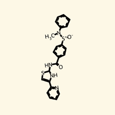 CN(c1ccccc1)[S+]([O-])c1ccc(C(=O)NC2NC(c3ccccn3)=CS2)cc1